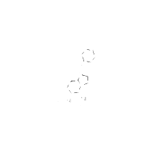 Cc1ccc([S+]([O-])n2ccc3c(NC4CCCCC4)c(NO)cnc32)cc1